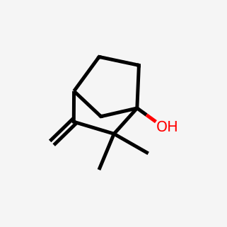 C=C1C2CCC(O)(C2)C1(C)C